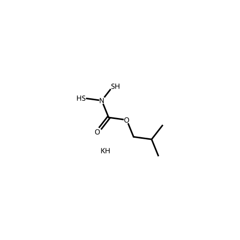 CC(C)COC(=O)N(S)S.[KH]